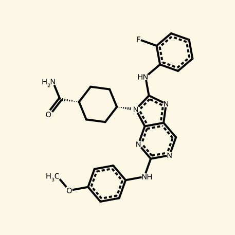 COc1ccc(Nc2ncc3nc(Nc4ccccc4F)n([C@H]4CC[C@@H](C(N)=O)CC4)c3n2)cc1